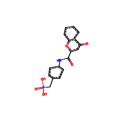 O=C(Nc1ccc(CP(=O)(O)O)cc1)c1cc(=O)c2ccccc2o1